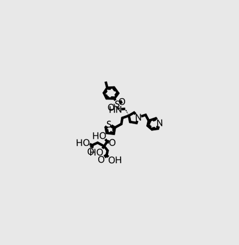 Cc1ccc(S(=O)(=O)NC[C@@]2(CCc3cccs3)CCN(Cc3cccnc3)C2)cc1.O=C(O)CC(O)(CC(=O)O)C(=O)O